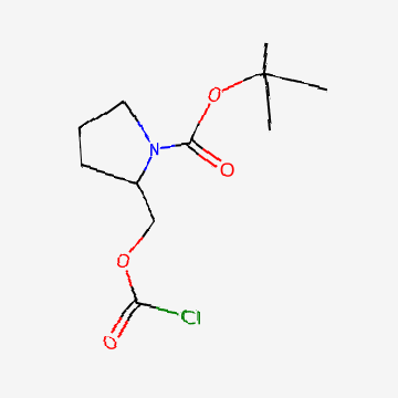 CC(C)(C)OC(=O)N1CCCC1COC(=O)Cl